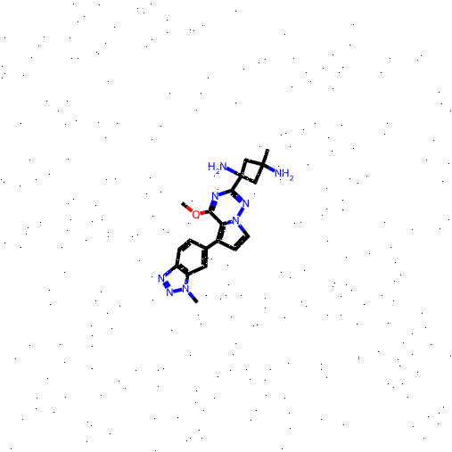 COc1nc(C2(N)CC(C)(N)C2)nn2ccc(-c3ccc4nnn(C)c4c3)c12